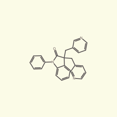 O=C1N(c2ccccc2)c2ccccc2C1(Cc1cccnc1)Cc1cccnc1